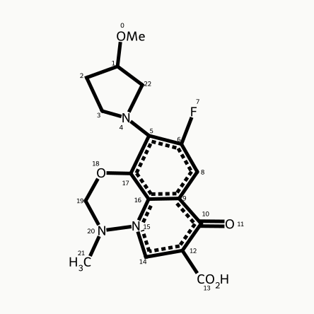 COC1CCN(c2c(F)cc3c(=O)c(C(=O)O)cn4c3c2OCN4C)C1